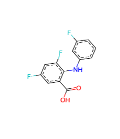 O=C(O)c1cc(F)cc(F)c1Nc1cccc(F)c1